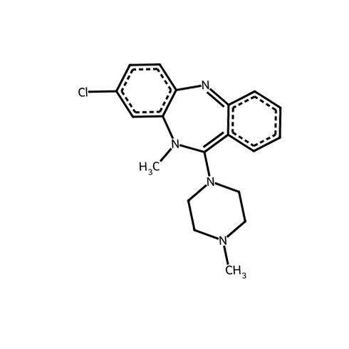 CN1CCN(C2=c3ccccc3=Nc3ccc(Cl)cc3N2C)CC1